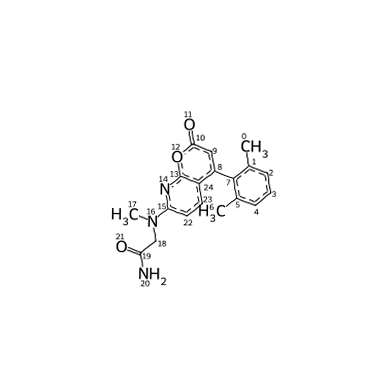 Cc1cccc(C)c1-c1cc(=O)oc2nc(N(C)CC(N)=O)ccc12